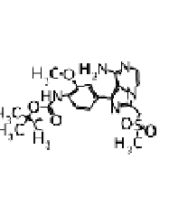 COc1cc(-c2nc(CS(C)(=O)=O)n3ccnc(N)c23)ccc1NC(=O)OC(C)(C)C